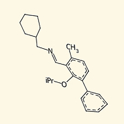 Cc1ccc(-c2ccccc2)c(OC(C)C)c1/C=N/CC1CCCCC1